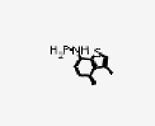 C=C1CCC(NP)c2scc(C)c21